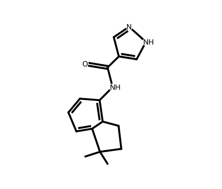 CC1(C)CCc2c(NC(=O)c3cn[nH]c3)cccc21